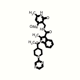 COc1cc(C)[nH]c(=O)c1CNC(=O)c1c(C)n([C@H](C)C2CCN(c3cnccn3)CC2)c2ccccc12